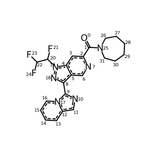 O=C(c1cc2c(cn1)c(-c1ncc3ccccn13)nn2C(F)C(F)F)N1CCCCCC1